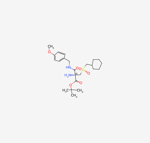 COc1ccc(CNC(=O)[C@](N)(CS(=O)(=O)CC2CCCCC2)C(=O)OC(C)(C)C)cc1